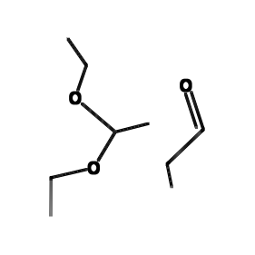 CCC=O.CCOC(C)OCC